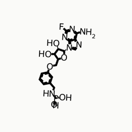 Nc1nc(F)nc2c1ncn2[C@@H]1OC(COc2cccc(CN[PH](=O)O)c2)C(O)[C@@H]1O